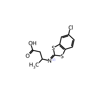 CC(CC(=O)O)/N=c1/sc2ccc(Cl)cc2s1